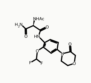 CC(=O)N[C@H](C(N)=O)C(=O)Nc1ccc(N2CCOCC2=O)cc1OC(F)F